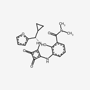 CN(C)C(=O)c1cccc(Nc2c(N[C@H](c3ccco3)C3CC3)c(=O)c2=O)c1O